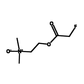 C[N+](C)([O-])CCOC(=O)CF